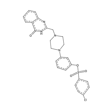 O=c1[nH]c(CN2CCN(c3cccc(OS(=O)(=O)c4ccc(Cl)cc4)c3)CC2)nc2ccccc12